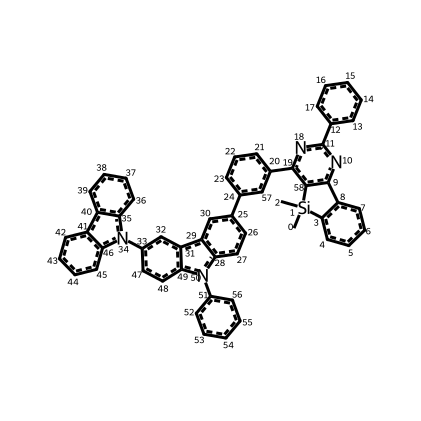 C[Si]1(C)c2ccccc2-c2nc(-c3ccccc3)nc(-c3cccc(-c4ccc5c(c4)c4cc(-n6c7ccccc7c7ccccc76)ccc4n5-c4ccccc4)c3)c21